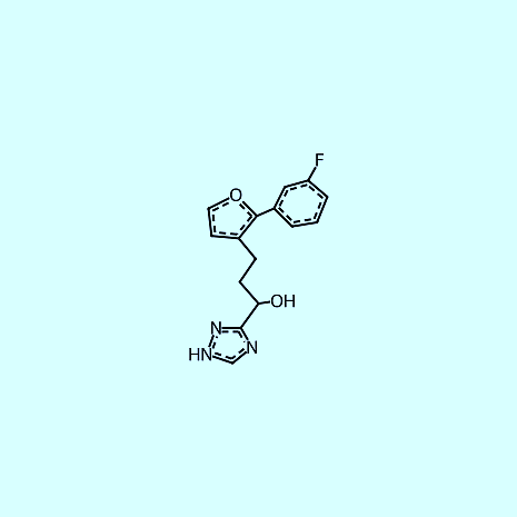 OC(CCc1ccoc1-c1cccc(F)c1)c1nc[nH]n1